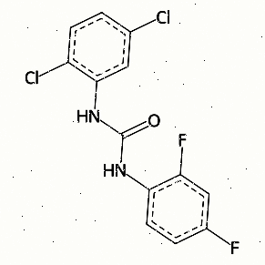 O=C(Nc1ccc(F)cc1F)Nc1cc(Cl)ccc1Cl